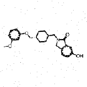 COc1cccc(OC[C@H]2CC[C@H](CN3Cc4ccc(O)cc4C3=O)CC2)c1